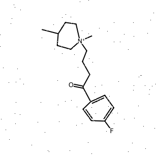 CC1CC[N+](C)(CCCC(=O)c2ccc(F)cc2)CC1